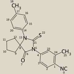 [C-]#[N+]c1ccc(N2C(=O)C3(CCCC3)N(c3ccc(C)cc3)C2=S)cc1C